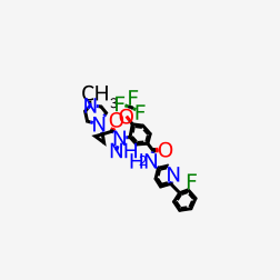 CN1CCN(C2(C(=O)N(N)c3cc(C(=O)Nc4ccc(-c5ccccc5F)nc4)ccc3OC(F)(F)F)CC2)CC1